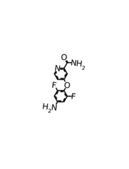 NC(=O)c1cc(Oc2c(F)cc(N)cc2F)ccn1